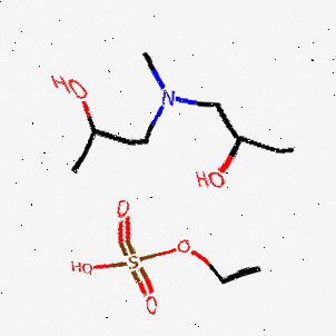 CC(O)CN(C)CC(C)O.CCOS(=O)(=O)O